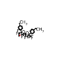 C=Cc1ccc(C(OC(=O)OC(c2ccc(C=C)cc2)(C(F)(F)F)C(F)(F)F)(C(F)(F)F)C(F)(F)F)cc1